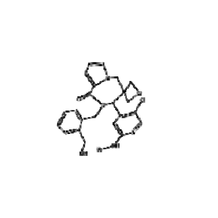 CC(C)Nc1cc(C2N(Cc3ccccc3CO)C(=O)c3cccn3CC23COC3)c(Cl)cn1